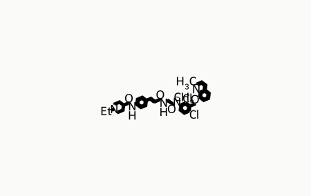 CCN1CCC(C(=O)Nc2ccc(C=CC(=O)NCC(=O)N(C)c3ccc(Cl)c(COc4cccc5ccc(C)nc45)c3Cl)cc2)CC1